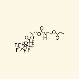 C=C(C)C(=O)OCCNC(=O)OCC(C)OC(=O)C(F)(OC(F)(F)C(C)(F)C(F)(F)F)C(F)(F)F